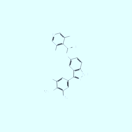 COc1c(C)cc(-c2n[nH]c3ccc(O[C@H](C)c4c(Cl)cncc4Cl)cc23)cc1C#N